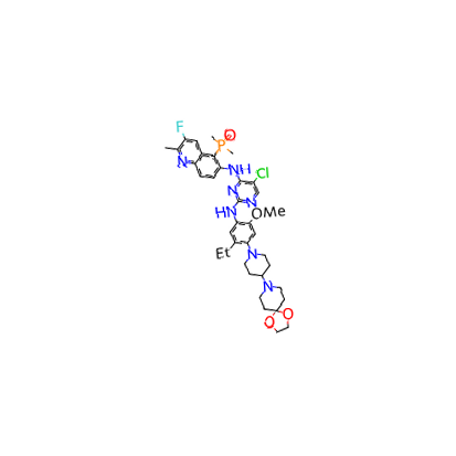 CCc1cc(Nc2ncc(Cl)c(Nc3ccc4nc(C)c(F)cc4c3P(C)(C)=O)n2)c(OC)cc1N1CCC(N2CCC3(CC2)OCCO3)CC1